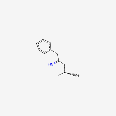 CN[C@@H](C)CC(=N)Cc1ccccc1